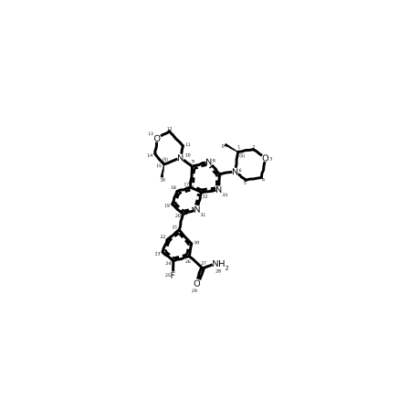 C[C@H]1COCCN1c1nc(N2CCOC[C@@H]2C)c2ccc(-c3ccc(F)c(C(N)=O)c3)nc2n1